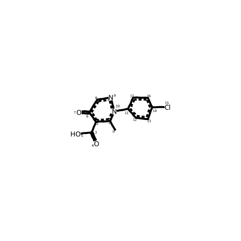 Cc1c(C(=O)O)c(=O)cnn1-c1ccc(Cl)cc1